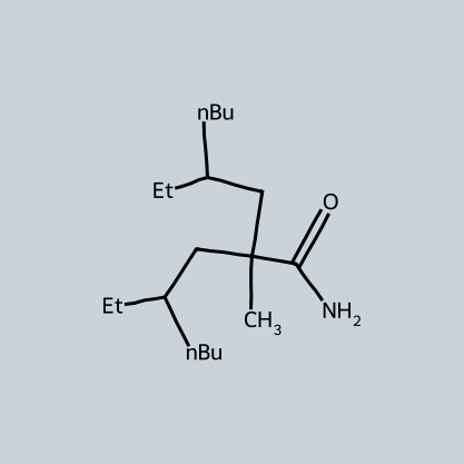 CCCCC(CC)CC(C)(CC(CC)CCCC)C(N)=O